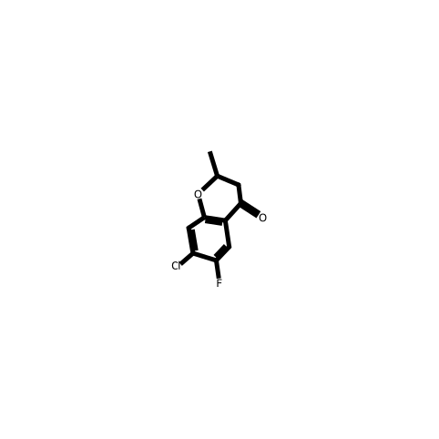 CC1CC(=O)c2cc(F)c(Cl)cc2O1